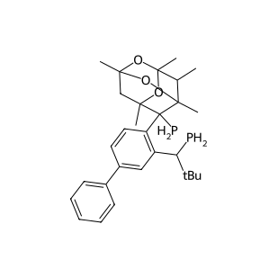 CC1C2(C)OC3(C)CC(C)(O2)C(P)(c2ccc(-c4ccccc4)cc2C(P)C(C)(C)C)C1(C)O3